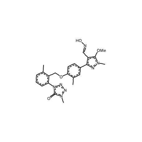 COc1c(C=NO)c(-c2ccc(OCc3c(C)cccc3-n3nnn(C)c3=O)c(C)c2)nn1C